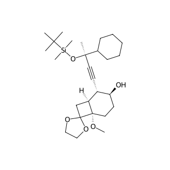 CO[C@@]12CC[C@H](O)[C@@H](C#C[C@@](C)(O[Si](C)(C)C(C)(C)C)C3CCCCC3)[C@@H]1CC21OCCO1